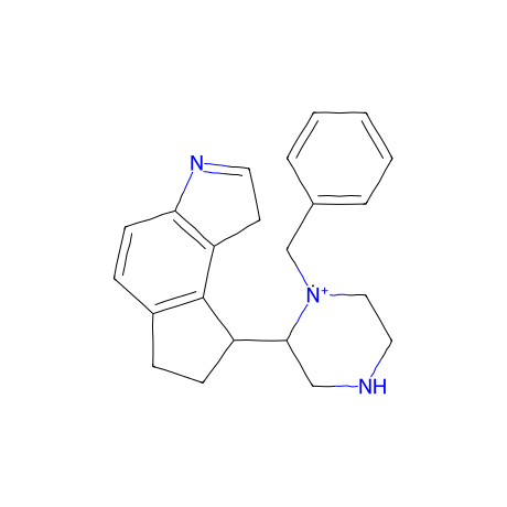 C1=Nc2ccc3c(c2C1)C(C1CNCC[N+]1Cc1ccccc1)CC3